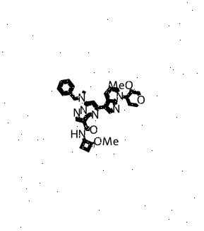 CO[C@H]1CCC1NC(=O)c1cnn2c(N(C)Cc3ccccc3)cc(-c3cnc4n(C5CCOC[C@@H]5OC)cccc3-4)nc12